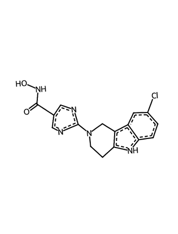 O=C(NO)c1cnc(N2CCc3[nH]c4ccc(Cl)cc4c3C2)nc1